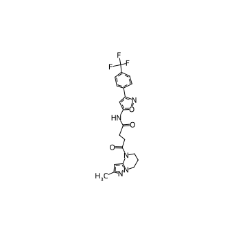 Cc1cc2n(n1)CCCN2C(=O)CCC(=O)Nc1cc(-c2ccc(C(F)(F)F)cc2)no1